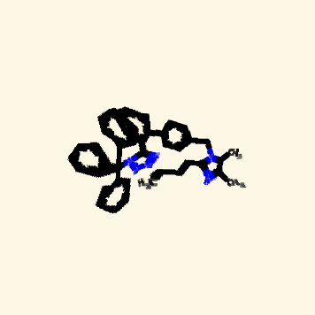 CCCCc1nc(C)c(C)n1Cc1ccc(-c2ccccc2-c2nnnn2C(c2ccccc2)(c2ccccc2)c2ccccc2)cc1